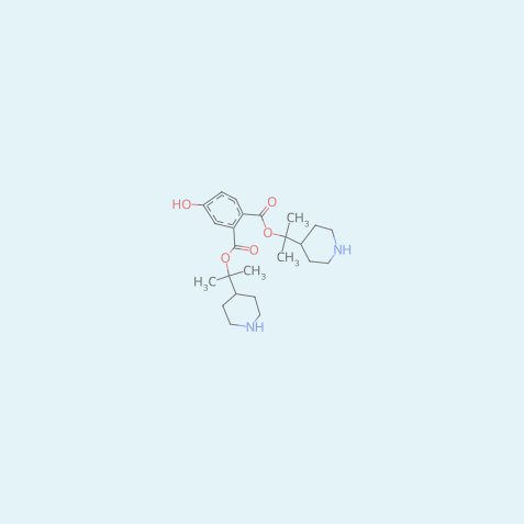 CC(C)(OC(=O)c1ccc(O)cc1C(=O)OC(C)(C)C1CCNCC1)C1CCNCC1